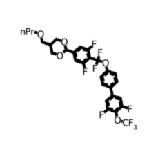 CCCOCC1COC(c2cc(F)c(C(F)(F)Oc3ccc(-c4cc(F)c(OC(F)(F)F)c(F)c4)cc3)c(F)c2)OC1